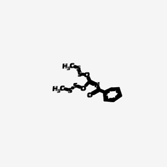 CSSOC(=NC(=O)c1ccccc1)OSSC